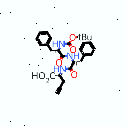 C#CC[C@@H](NC(=O)[C@@H](Cc1ccccc1)NC(=O)[C@@H](Cc1ccccc1)NC(=O)OC(C)(C)C)C(=O)O